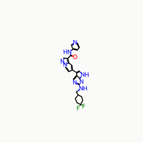 O=C(Nc1cccnc1)c1cnn2ccc(-c3c[nH]c4nc(NCC5CCC(F)(F)CC5)ncc34)cc12